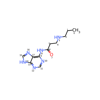 CCCNCCC(=O)Nc1ncnc2[nH]cnc12